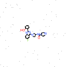 O=C(NC1CCN(c2nc(-c3ccccc3O)nc3ccc(F)cc23)C1)c1ccncc1